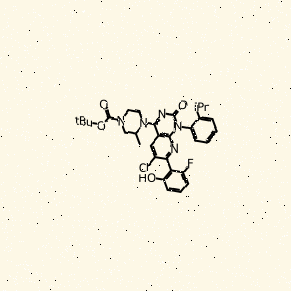 CC(C)c1ccccc1-n1c(=O)nc(N2CCN(C(=O)OC(C)(C)C)CC2C)c2cc(Cl)c(-c3c(O)cccc3F)nc21